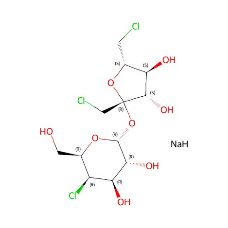 OC[C@H]1O[C@H](O[C@]2(CCl)O[C@H](CCl)[C@@H](O)[C@@H]2O)[C@H](O)[C@@H](O)[C@H]1Cl.[NaH]